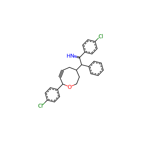 N=C(c1ccc(Cl)cc1)C(c1ccccc1)C1CC#CC(c2ccc(Cl)cc2)OCC1